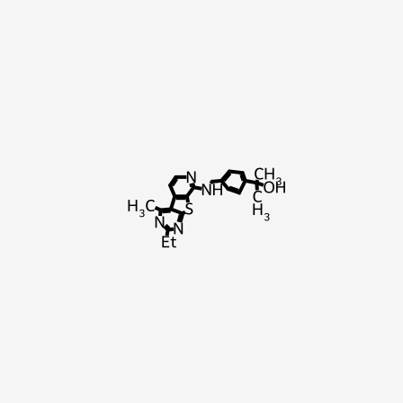 CCc1nc(C)c2c(n1)sc1c(NCc3ccc(C(C)(C)O)cc3)nccc12